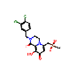 CC(C)S(=O)(=O)Cc1cc(=O)c(O)c2n1CCN(Cc1ccc(Cl)c(Cl)c1)C2=O